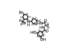 O=C(NC1(C(=O)NCc2ccc(Nc3ccc(Br)cc3C(F)(F)F)cn2)CC1)c1cc(O)nc(O)n1